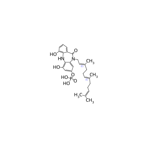 CC(C)=CCC/C(C)=C/CC/C(C)=C/CN1C(=O)c2cccc(O)c2Nc2c(O)cc(OP(=O)(O)O)cc21